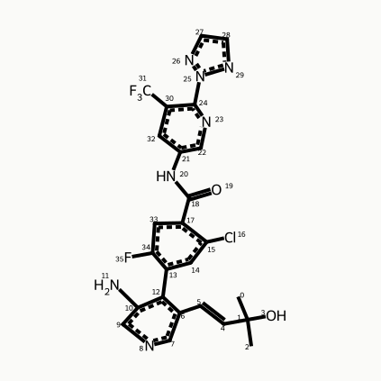 CC(C)(O)C=Cc1cncc(N)c1-c1cc(Cl)c(C(=O)Nc2cnc(-n3nccn3)c(C(F)(F)F)c2)cc1F